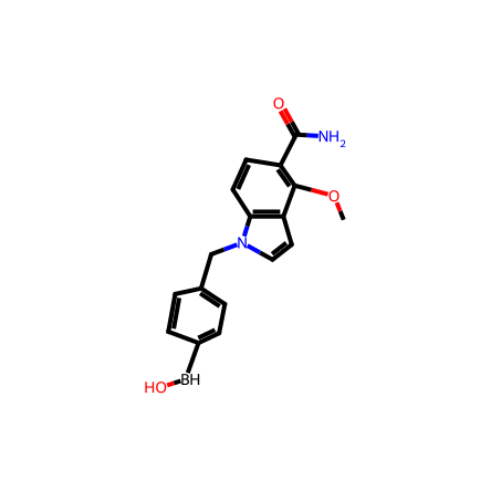 COc1c(C(N)=O)ccc2c1ccn2Cc1ccc(BO)cc1